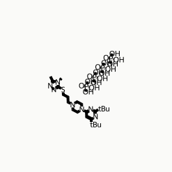 Cc1nnc(SCCCN2CCN(c3cc(C(C)(C)C)nc(C(C)(C)C)n3)CC2)n1C.O=P(O)(O)O.O=P(O)(O)O.O=P(O)(O)O.O=P(O)(O)O